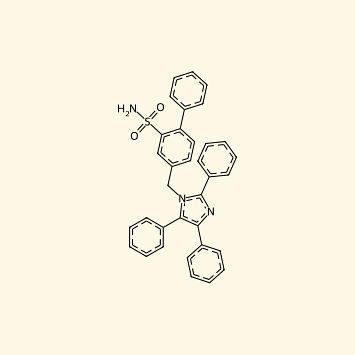 NS(=O)(=O)c1cc(Cn2c(-c3ccccc3)nc(-c3ccccc3)c2-c2ccccc2)ccc1-c1ccccc1